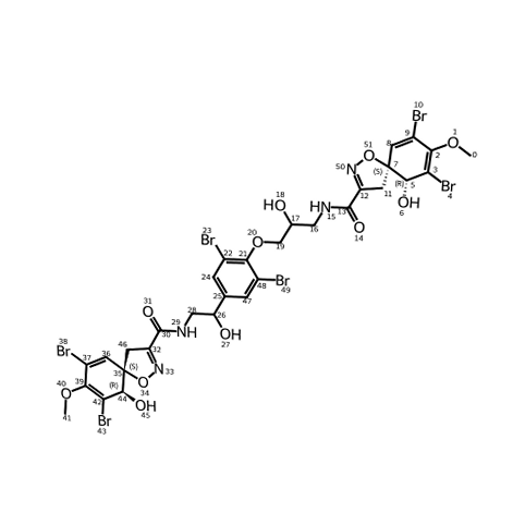 COC1=C(Br)[C@H](O)[C@@]2(C=C1Br)CC(C(=O)NCC(O)COc1c(Br)cc(C(O)CNC(=O)C3=NO[C@]4(C=C(Br)C(OC)=C(Br)[C@@H]4O)C3)cc1Br)=NO2